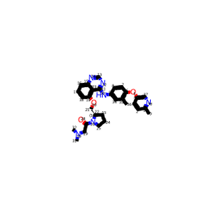 Cc1ccc(Oc2ccc(Nc3ncnc4cccc(OC[C@@H]5CCCN5C(=O)CN(C)C)c34)cc2C)cn1